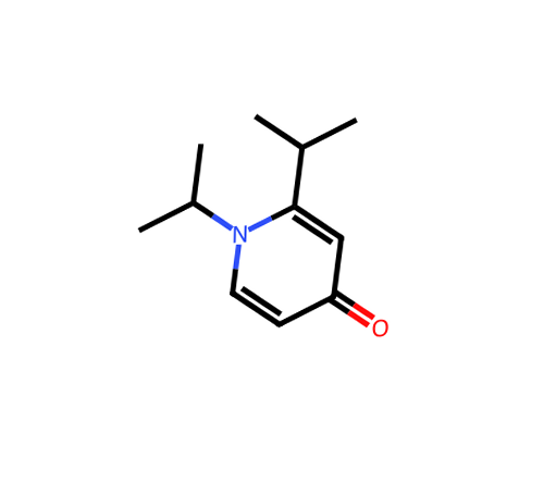 CC(C)c1cc(=O)ccn1C(C)C